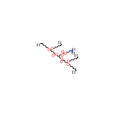 CC/C=C\CCCCOC(CCC(=O)OCC(COC(=O)CCC(OCCCC/C=C\CC)OCCCC/C=C\CC)COC(=O)OCCCN(CC)CC)OCCCC/C=C\CC